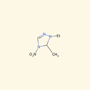 CCN1N=CN([N+](=O)[O-])C1C